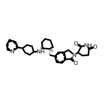 O=C1CCC(N2Cc3cc(C[C@H]4CCCC[C@@H]4NC4CCC(c5ccccn5)CC4)ccc3C2=O)C(=O)N1